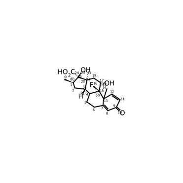 C[C@@H]1C[C@H]2C3CCC4=CC(=O)C=CC4(C)[C@@]3(F)[C@@H](O)C[C@]2(C)[C@@]1(O)C(=O)O